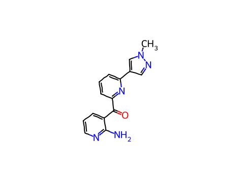 Cn1cc(-c2cccc(C(=O)c3cccnc3N)n2)cn1